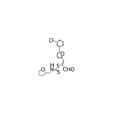 O=C/C(=C/c1ccc(-c2cccc(Cl)c2)o1)SC(=S)NCC1CCCO1